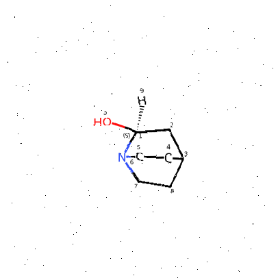 O[C@H]1CC2CCN1CC2